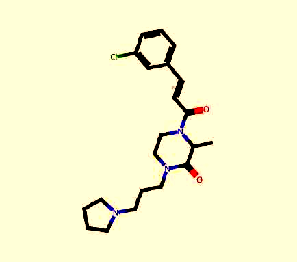 CC1C(=O)N(CCCN2CCCC2)CCN1C(=O)/C=C/c1cccc(Cl)c1